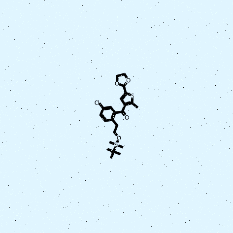 Cc1sc(C2OCCO2)cc1C(=O)c1cc(Cl)ccc1CCO[Si](C)(C)C(C)(C)C